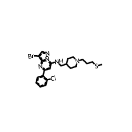 CSCCCN1CCC(CNc2cc(-c3ccccc3Cl)nc3c(Br)cnn23)CC1